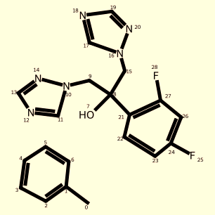 Cc1ccccc1.OC(Cn1cncn1)(Cn1cncn1)c1ccc(F)cc1F